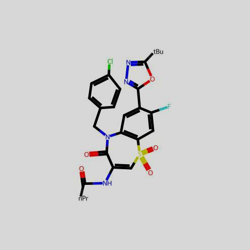 CCCC(=O)NC1=CS(=O)(=O)c2cc(F)c(-c3nnc(C(C)(C)C)o3)cc2N(Cc2ccc(Cl)cc2)C1=O